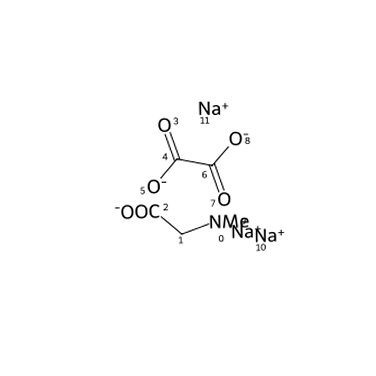 CNCC(=O)[O-].O=C([O-])C(=O)[O-].[Na+].[Na+].[Na+]